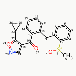 C[S+]([O-])c1ccccc1Cc1ccccc1C(=O)c1cnoc1C1CC1